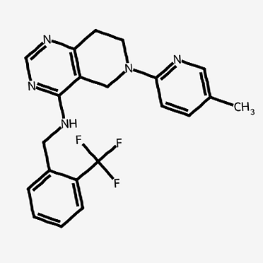 Cc1ccc(N2CCc3ncnc(NCc4ccccc4C(F)(F)F)c3C2)nc1